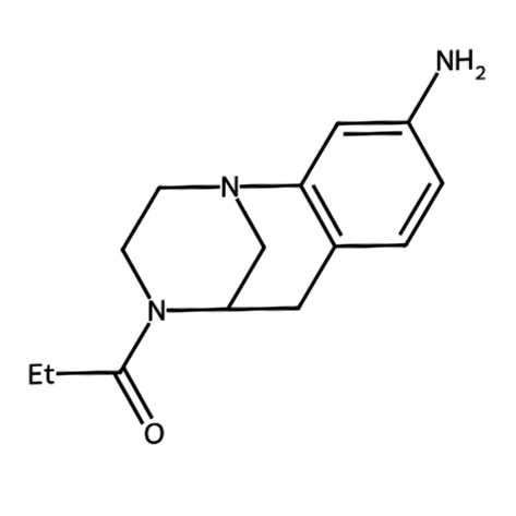 CCC(=O)N1CCN2CC1Cc1ccc(N)cc12